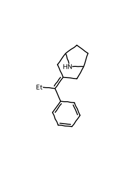 CCC(=C1CC2CCC(C1)N2)c1ccccc1